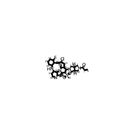 C=CC(=O)N1C[C@@H]2CN(c3c(S(C)(=O)=O)c(=O)n4c5nc(c(Cl)cc35)c3c(F)cccc3[nH]c3ccnc(C(C)C)c34)C[C@@H]2C1